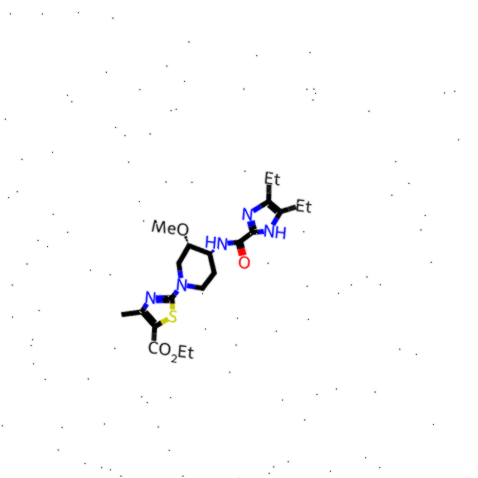 CCOC(=O)c1sc(N2CC[C@@H](NC(=O)c3nc(CC)c(CC)[nH]3)[C@@H](OC)C2)nc1C